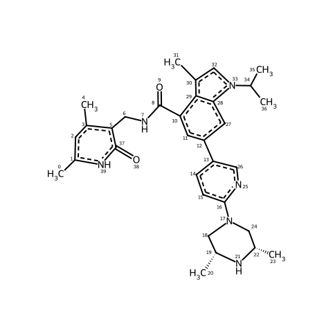 Cc1cc(C)c(CNC(=O)c2cc(-c3ccc(N4C[C@@H](C)N[C@@H](C)C4)nc3)cc3c2c(C)cn3C(C)C)c(=O)[nH]1